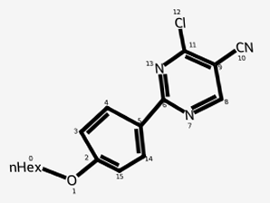 CCCCCCOc1ccc(-c2ncc(C#N)c(Cl)n2)cc1